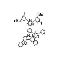 CCCCc1cc(I)cc(-c2nc(-c3cc(I)cc(CCCC)c3)nc(-c3ccc(-n4c5ccccc5c5c6oc7ccccc7c6ccc54)c(-c4nc(-c5ccccc5)nc(-c5ccccc5)n4)c3)n2)c1